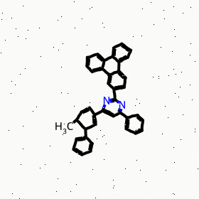 CC1C=CC(c2cc(-c3ccccc3)nc(-c3ccc4c5ccccc5c5ccccc5c4c3)n2)=CC1c1ccccc1